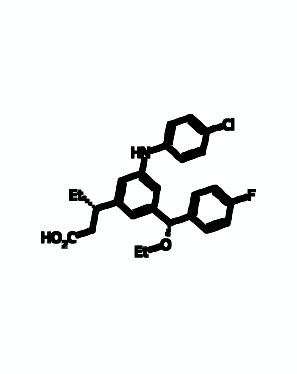 CCO[C@@H](c1ccc(F)cc1)c1cc(Nc2ccc(Cl)cc2)cc([C@@H](CC)CC(=O)O)c1